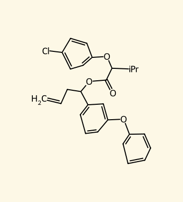 C=CCC(OC(=O)C(Oc1ccc(Cl)cc1)C(C)C)c1cccc(Oc2ccccc2)c1